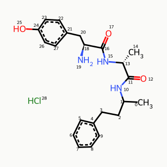 CC(CCc1ccccc1)NC(=O)[C@@H](C)NC(=O)[C@@H](N)Cc1ccc(O)cc1.Cl